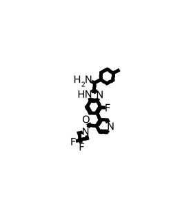 CC1CCC(C(N)c2nc3c(F)c(-c4cnccc4C(=O)N4CC(F)(F)C4)ccc3[nH]2)CC1